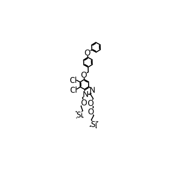 C[Si](C)(C)CCOCOCc1nc2cc(OCc3ccc(Oc4ccccc4)cc3)c(Cl)c(Cl)c2n1COCC[Si](C)(C)C